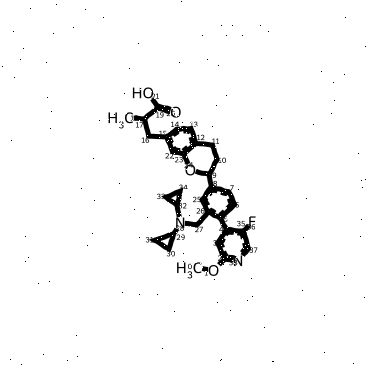 COc1cc(-c2ccc(C3CCc4ccc(CC(C)C(=O)O)cc4O3)cc2CN(C2CC2)C2CC2)c(F)cn1